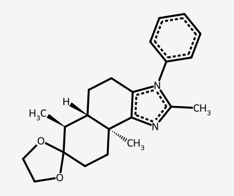 Cc1nc2c(n1-c1ccccc1)CC[C@H]1[C@H](C)C3(CC[C@]21C)OCCO3